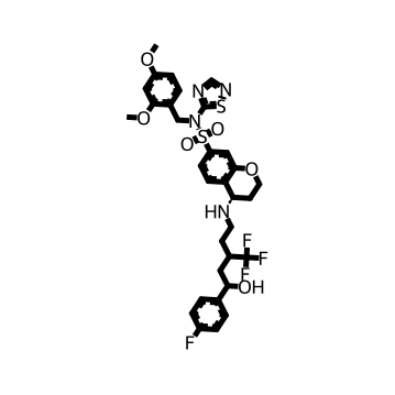 COc1ccc(CN(c2ncns2)S(=O)(=O)c2ccc3c(c2)OCC[C@@H]3NCCC(CC(O)c2ccc(F)cc2)C(F)(F)F)c(OC)c1